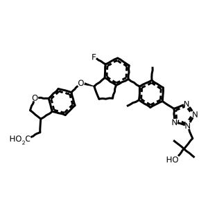 Cc1cc(-c2nnn(CC(C)(C)O)n2)cc(C)c1-c1ccc(F)c2c1CC[C@H]2Oc1ccc2c(c1)OCC2CC(=O)O